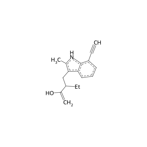 C#Cc1cccc2c(CC(CC)C(=C)O)c(C)[nH]c12